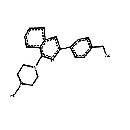 CCN1CCN(c2nc(-c3ccc(CC(C)=O)cc3)cc3ccccc23)CC1